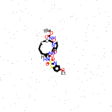 CCOc1ccc2sc(S(=O)(=O)NC(=O)[C@@]34C[C@H]3/C=C\CCCCC[C@H](NC(=O)OC(C)(C)C)C(=O)N3CCC[C@H]3C(=O)N4)nc2c1